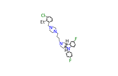 CCc1c(Cl)cccc1CN1CCN(CCCCN2CC[C@@H]3[C@@H](C2)c2cc(F)ccc2N3c2ccc(F)cc2)CC1